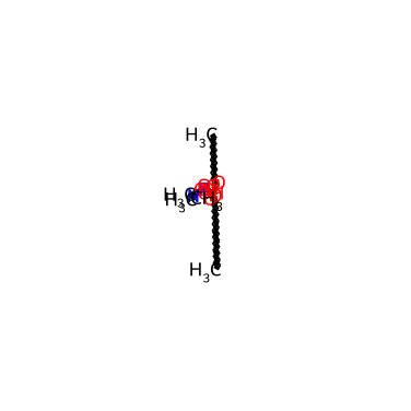 CC/C=C/C/C=C/C/C=C/C/C=C/C/C=C/CCCCCCC(=O)O[C@H](COC(=O)CCCCCCCCCCCCCCC)COP(=O)(O)OCC[N+](C)(C)C